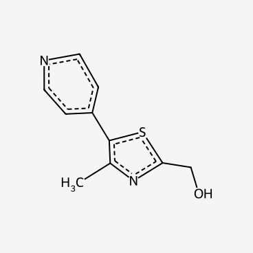 Cc1nc(CO)sc1-c1ccncc1